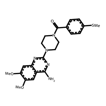 COc1cc2nc(N3CCN(C(=O)c4ccc(SC)cc4)CC3)nc(N)c2cc1OC